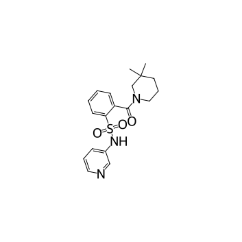 CC1(C)CCCN(C(=O)c2ccccc2S(=O)(=O)Nc2cccnc2)C1